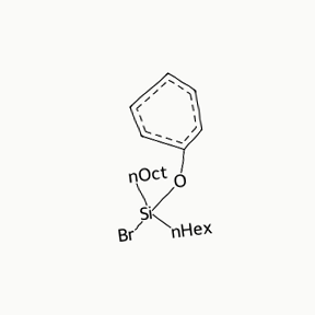 CCCCCCCC[Si](Br)(CCCCCC)Oc1ccccc1